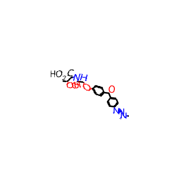 CC(O)C(NC(=O)COc1ccc(C(=O)c2ccc(/N=N/N(C)C)cc2)cc1)C(=O)O